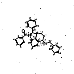 O=C(c1ccccc1)N1c2cccc3c2C(CCC3NCc2ccccc2)C1c1ccccc1